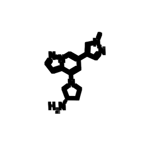 Cn1cc(-c2cc(N3CC[C@H](N)C3)c3ccnn3c2)cn1